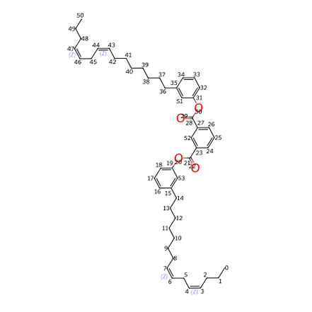 CCC/C=C\C/C=C\CCCCCCCc1cccc(OC(=O)c2cccc(C(=O)Oc3cccc(CCCCCCC/C=C\C/C=C\CCC)c3)c2)c1